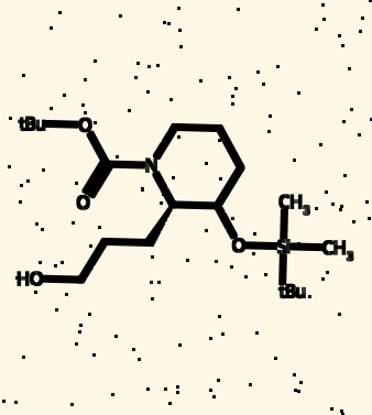 CC(C)(C)OC(=O)N1CCCC(O[Si](C)(C)C(C)(C)C)[C@H]1CCCO